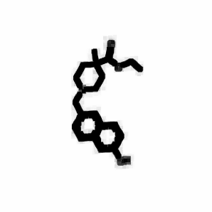 CCOC(=O)C1(C)CCN(Cc2ccc3cc(O)ccc3c2)CC1